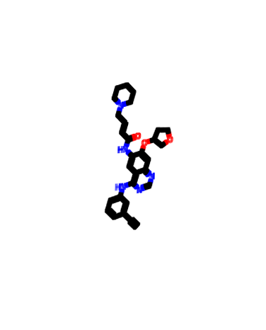 C#Cc1cccc(Nc2ncnc3cc(OC4CCOC4)c(NC(=O)C=CCN4CCCCC4)cc23)c1